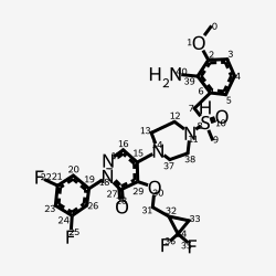 COc1cccc(C[SH](C)(=O)N2CCN(c3cnn(-c4cc(F)cc(F)c4)c(=O)c3OCC3CC3(F)F)CC2)c1N